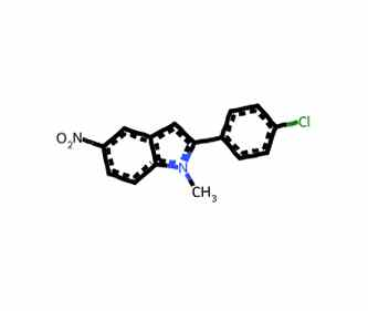 Cn1c(-c2ccc(Cl)cc2)cc2cc([N+](=O)[O-])ccc21